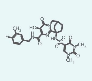 Cc1cc(CNC(=O)c2nc3n(c(=O)c2O)CC2CCC3(NS(=O)(=O)c3cn(C)c(=O)n(C)c3=O)CC2)ccc1F